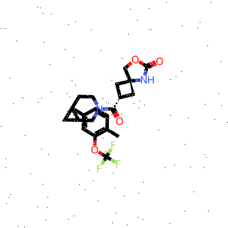 Cc1ccc(C23CCN(C(=O)[C@H]4C[C@]5(COC(=O)N5)C4)CC2C3)cc1OC(F)(F)F